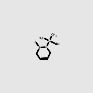 CC(C)(C)[Si](C)(C)N1CC=CCB1Cl